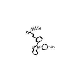 CNC(=O)/C=C/c1cccc(-c2nc3ccccc3n2[C@H]2CC[C@H](O)CC2)c1